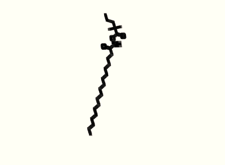 CCCCCCCCCCCCCCCCCC(=O)NOC(=O)C(C)(C)CCC